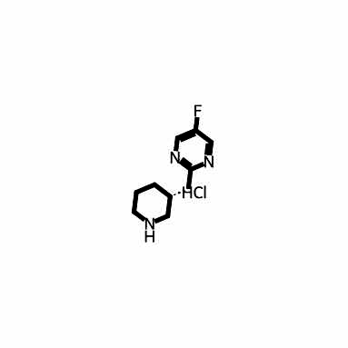 Cl.Fc1cnc(C[C@H]2CCCNC2)nc1